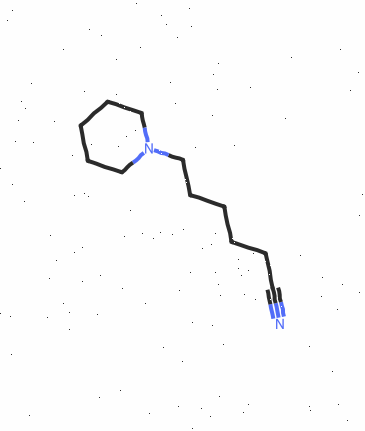 N#CCCCCCN1CCCCC1